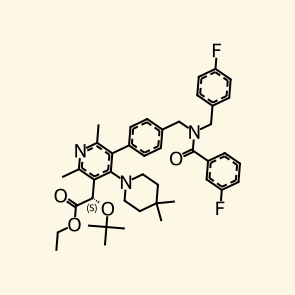 CCOC(=O)[C@@H](OC(C)(C)C)c1c(C)nc(C)c(-c2ccc(CN(Cc3ccc(F)cc3)C(=O)c3cccc(F)c3)cc2)c1N1CCC(C)(C)CC1